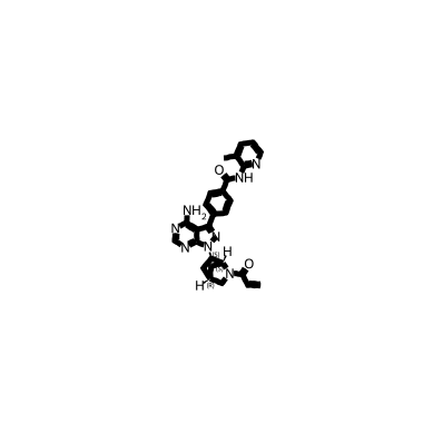 C=CC(=O)N1C[C@@H]2C[C@H]1[C@@H](n1nc(-c3ccc(C(=O)Nc4ncccc4C)cc3)c3c(N)ncnc31)C2